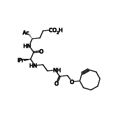 CC(=O)[C@H](CCC(=O)O)NC(=O)[C@@H](NCCNC(=O)COC1C#CCCCCC1)C(C)C